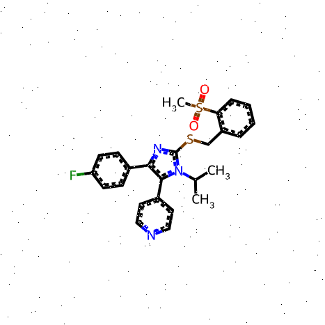 CC(C)n1c(SCc2ccccc2S(C)(=O)=O)nc(-c2ccc(F)cc2)c1-c1ccncc1